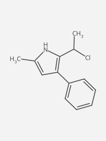 Cc1cc(-c2ccccc2)c(C(C)Cl)[nH]1